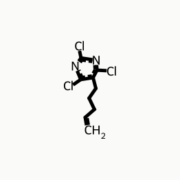 C=CCCCc1c(Cl)nc(Cl)nc1Cl